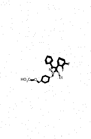 CCSc1c(-c2cccc(F)c2F)c(-c2ccccc2)nn1C[C@H]1CC[C@H](COCC(=O)O)CC1